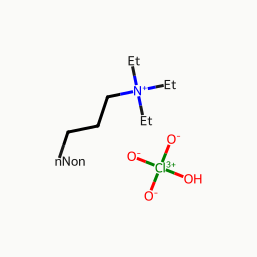 CCCCCCCCCCCC[N+](CC)(CC)CC.[O-][Cl+3]([O-])([O-])O